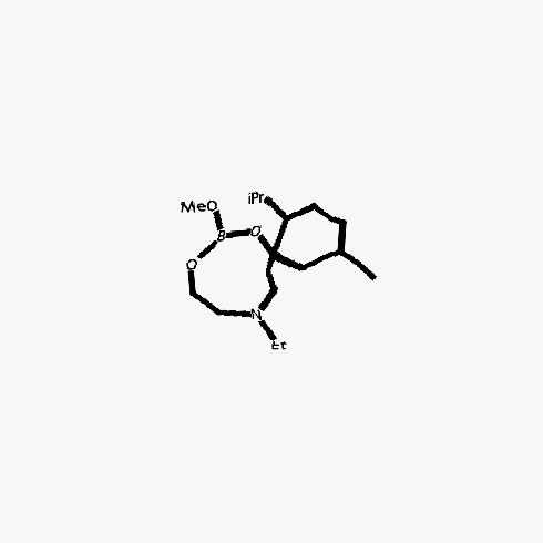 CCN1CCOB(OC)OC2(CC(C)CCC2C(C)C)C1